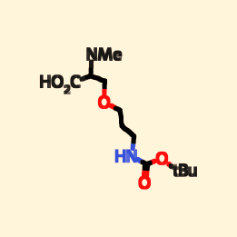 CNC(COCCCNC(=O)OC(C)(C)C)C(=O)O